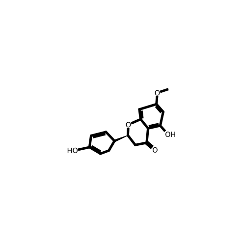 COc1cc(O)c2c(c1)O[C@H](C1C=CC(O)=CC1)CC2=O